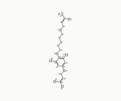 FC(F)(F)C(Cl)=CCOCCCCCOc1c(Cl)cc(OCC=C(Cl)Cl)cc1Cl